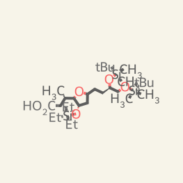 CC[Si](CC)(CC)O[C@H]1CC(CC[C@H](CO[Si](C)(C)C(C)(C)C)O[Si](C)(C)C(C)(C)C)OC1[C@@H](C)CC(=O)O